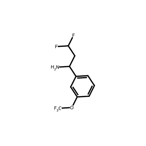 NC(CC(F)F)c1cccc(OC(F)(F)F)c1